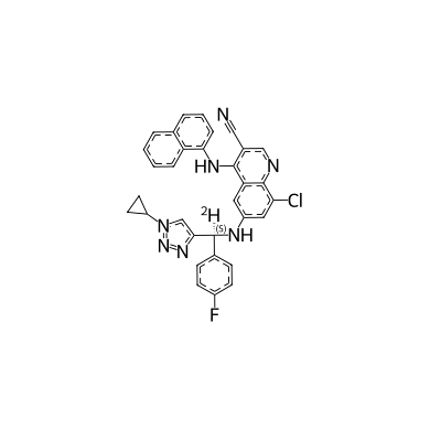 [2H][C@](Nc1cc(Cl)c2ncc(C#N)c(Nc3cccc4ccccc34)c2c1)(c1ccc(F)cc1)c1cn(C2CC2)nn1